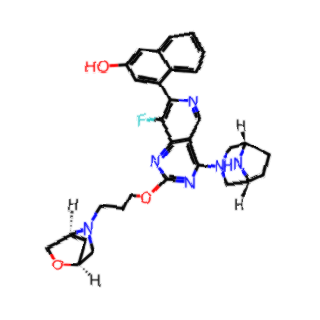 Oc1cc(-c2ncc3c(N4C[C@H]5CC[C@@H](C4)N5)nc(OCCCN4C[C@@H]5C[C@H]4CO5)nc3c2F)c2ccccc2c1